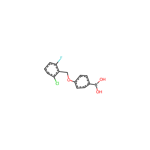 OB(O)c1ccc(OCc2c(F)cccc2Cl)cc1